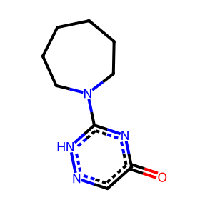 O=c1cn[nH]c(N2CCCCCC2)n1